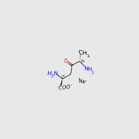 C[C@H](N)C(=O)C[C@H](N)C(=O)[O-].[Na+]